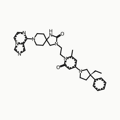 CC[C@@]1(c2ccccc2)CCN(c2cc(C)n(CCN3CC4(CCN(c5nccn6cncc56)CC4)NC3=O)c(=O)c2)C1